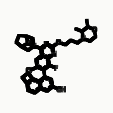 CC1OCCN(CCCOc2nc(N3CC4CCC(C3)N4)c3cc(Cl)c(-c4cc(O)cc5ccc6c(c45)CC6)c(F)c3n2)C1C